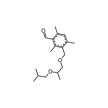 Cc1cc(C)c(COCC(C)OCC(C)C)c(C)c1C=O